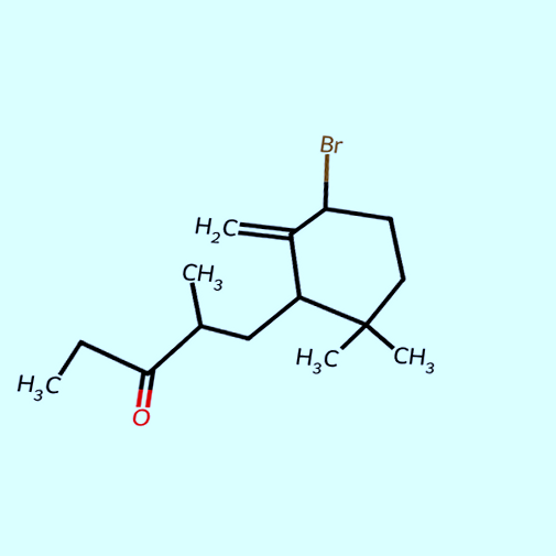 C=C1C(Br)CCC(C)(C)C1CC(C)C(=O)CC